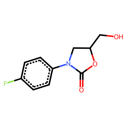 O=C1OC(CO)CN1c1ccc(F)cc1